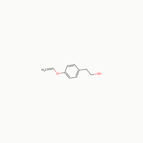 C=COc1ccc(CCO)cc1